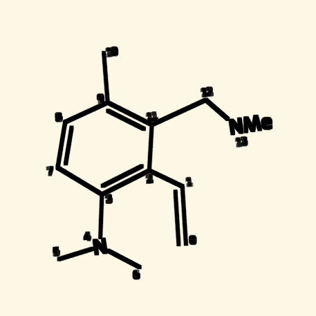 C=Cc1c(N(C)C)ccc(C)c1CNC